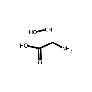 CO.NCC(=O)O